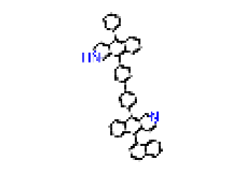 C1=c2c(-c3ccccc3)c3ccccc3c(-c3ccc(-c4ccc(-c5c6ccccc6c(-c6cccc7ccccc67)c6ccncc56)cc4)cc3)c2=CNC1